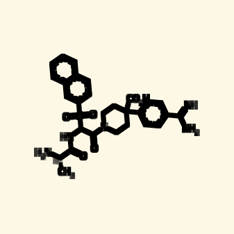 C[C@H](N)C(=O)NC(C(=O)N1CCC(C(=O)O)(c2ccc(C(=N)N)cc2)CC1)S(=O)(=O)c1ccc2ccccc2c1